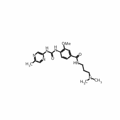 COc1cc(C(=O)NCCCN(C)C)ccc1NC(=O)Nc1cnc(C)cn1